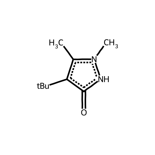 Cc1c(C(C)(C)C)c(=O)[nH]n1C